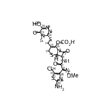 CON=C(C(=O)NC1C(=O)N2C(OC(=O)O)=C(CSc3nnc(O)c(=O)n3C)CS[C@@H]12)c1nc(N)sc1Cl